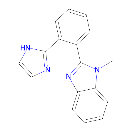 Cn1c(-c2ccccc2-c2ncc[nH]2)nc2ccccc21